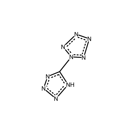 n1n[nH]c(-n2nnnn2)n1